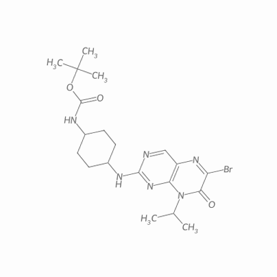 CC(C)n1c(=O)c(Br)nc2cnc(NC3CCC(NC(=O)OC(C)(C)C)CC3)nc21